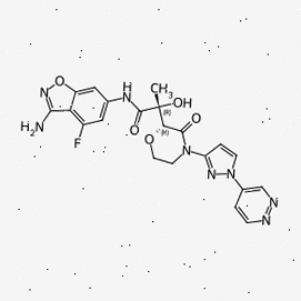 C[C@](O)(C(=O)Nc1cc(F)c2c(N)noc2c1)[C@H]1OCCN(c2ccn(-c3ccnnc3)n2)C1=O